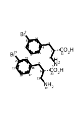 NC[C@H](Cc1cccc(Br)c1)C(=O)O.NC[C@H](Cc1cccc(Br)c1)C(=O)O